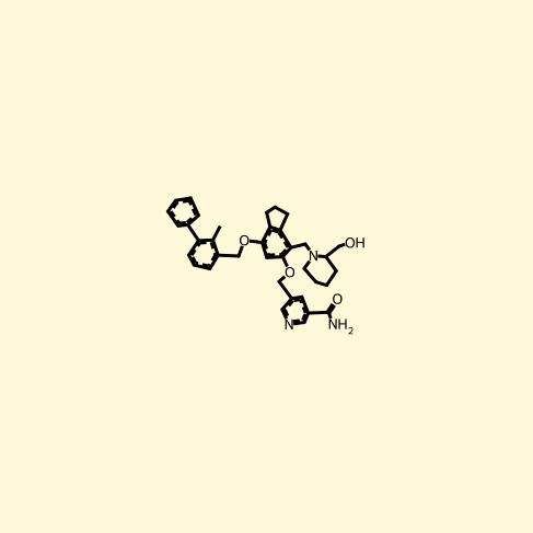 Cc1c(COc2cc(OCc3cncc(C(N)=O)c3)c(CN3CCCCC3CO)c3c2CCC3)cccc1-c1ccccc1